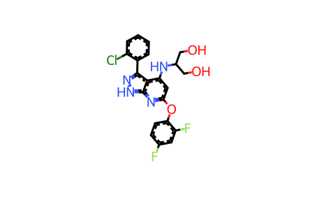 OCC(CO)Nc1cc(Oc2ccc(F)cc2F)nc2[nH]nc(-c3ccccc3Cl)c12